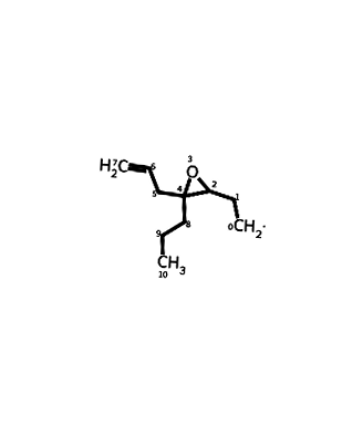 [CH2]CC1OC1(CC=C)CCC